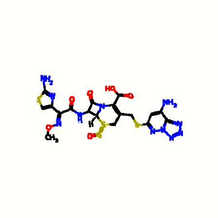 CON=C(C(=O)NC1C(=O)N2C(C(=O)O)=C(CSc3cc(N)c4nnnn4n3)C[S@@](=S=O)[C@@H]12)c1csc(N)n1